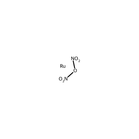 O=[N+]([O-])O[N+](=O)[O-].[Ru]